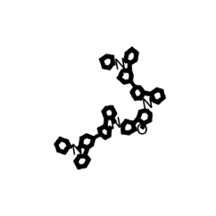 c1ccc(-n2c3ccccc3c3cc(-c4ccc5c(c4)c4ccccc4n5-c4ccc5oc6ccc(-n7c8ccccc8c8cc(-c9ccc%10c(c9)c9ccccc9n%10-c9ccccc9)ccc87)cc6c5c4)ccc32)cc1